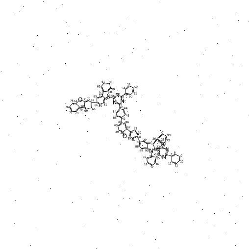 c1ccc(-c2nc(-c3ccccc3)nc(-c3ccccc3-n3c4ccccc4c4cc(-c5ccc6c(c5)oc5ccc(-c7ccc(-c8nc(-c9ccccc9)nc(-n9c%10ccccc%10c%10cc(-c%11ccc%12c(c%11)oc%11ccccc%11%12)ccc%109)n8)cc7)cc56)ccc43)n2)cc1